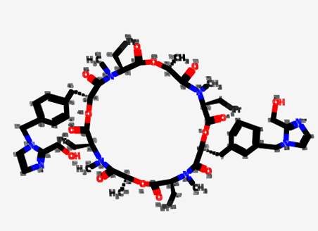 CC(C)C[C@H]1C(=O)O[C@H](Cc2cccc(Cn3ccnc3CO)c2)C(=O)N(C)[C@@H](CC(C)C)C(=O)O[C@H](C)C(=O)N(C)[C@@H](CC(C)C)C(=O)O[C@H](Cc2ccc(Cn3ccnc3CO)cc2)C(=O)N(C)[C@@H](CC(C)C)C(=O)O[C@H](C)C(=O)N1C